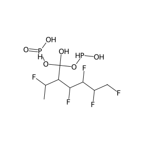 CC(F)C(C(F)C(F)C(F)CF)C(O)(OPO)O[PH](=O)O